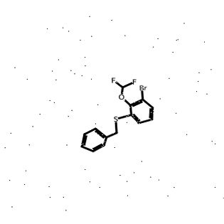 FC(F)Oc1c(Br)cccc1SCc1ccccc1